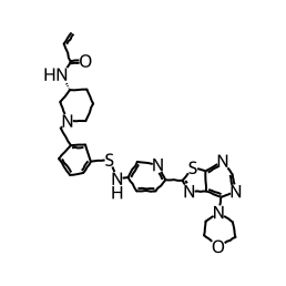 C=CC(=O)N[C@@H]1CCCN(Cc2cccc(SNc3ccc(-c4nc5c(N6CCOCC6)ncnc5s4)nc3)c2)C1